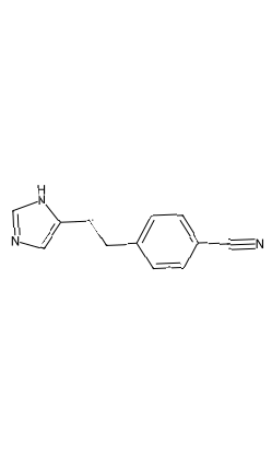 N#Cc1ccc(C[CH]c2cnc[nH]2)cc1